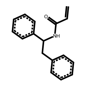 C=CC(=O)NC(Cc1ccccc1)c1ccccc1